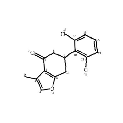 Cc1coc2c1C(=O)CC(c1c(Cl)cccc1Cl)C2